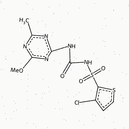 COc1nc(C)nc(NC(=O)NS(=O)(=O)c2sccc2Cl)n1